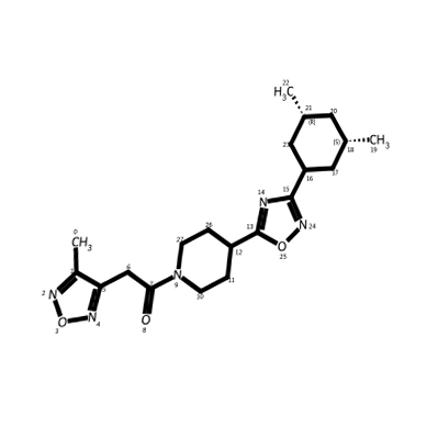 Cc1nonc1CC(=O)N1CCC(c2nc(C3C[C@@H](C)C[C@@H](C)C3)no2)CC1